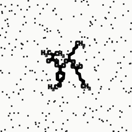 C=CCCCC(=O)OOC(=O)CCCC=C.COc1ccc(C(=O)OOC(=O)C(C)C)cc1